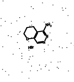 Br.Nc1nncc2c1CCCO2